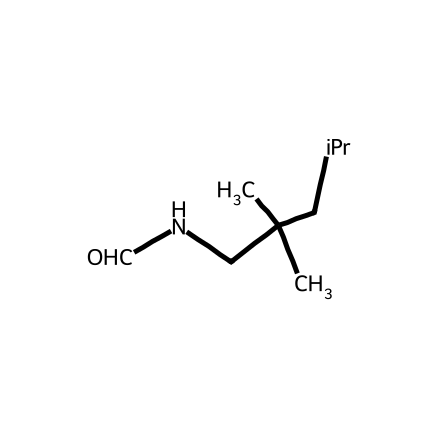 CC(C)CC(C)(C)CNC=O